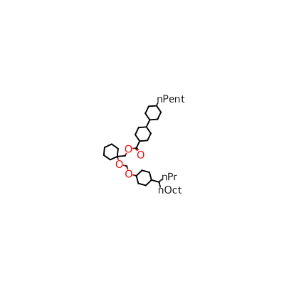 CCCCCCCCC(CCC)C1CCC(OCOC2(COC(=O)C3CCC(C4CCC(CCCCC)CC4)CC3)CCCCC2)CC1